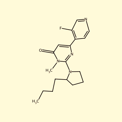 CCCCC1CCCN1c1nc(-c2ccncc2F)cc(=O)n1C